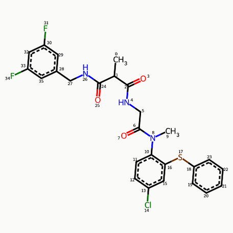 CC(C(=O)NCC(=O)N(C)c1ccc(Cl)cc1Sc1ccccc1)C(=O)NCc1cc(F)cc(F)c1